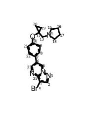 Brc1cnn2cc(-c3ccc(OC4(CN5CCCC5)CC4)cc3)cnc12